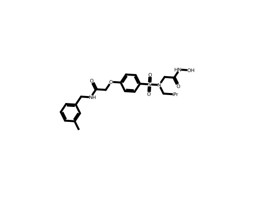 Cc1cccc(CNC(=O)COc2ccc(S(=O)(=O)N(CC(=O)NO)CC(C)C)cc2)c1